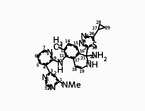 CNc1cc(-c2cccnc2Nc2c(C)ccc3c2C=CNC3(N)c2nnc(C3CC3)s2)ncn1